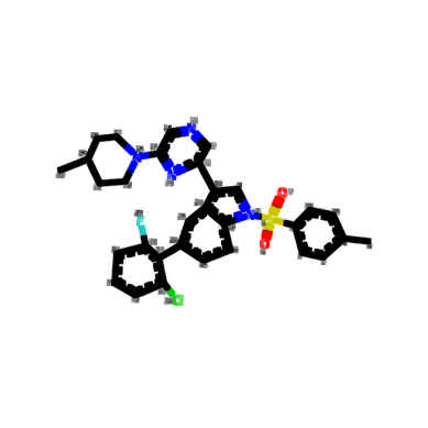 Cc1ccc(S(=O)(=O)n2cc(-c3cncc(N4CCC(C)CC4)n3)c3cc(-c4c(F)cccc4Cl)ccc32)cc1